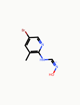 Cc1cc(Br)cnc1N/C=N\O